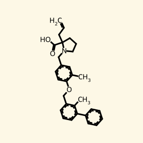 C=CCC1(C(=O)O)CCCN1Cc1ccc(OCc2cccc(-c3ccccc3)c2C)c(C)c1